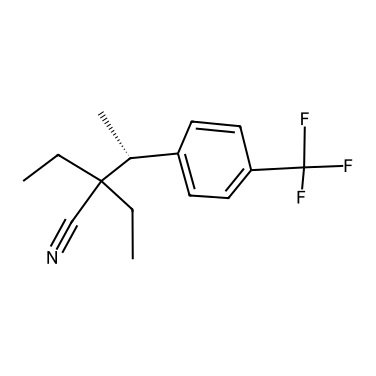 CCC(C#N)(CC)[C@H](C)c1ccc(C(F)(F)F)cc1